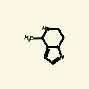 CC1NCCn2nccc21